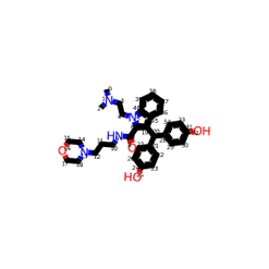 CN(C)CCn1c(C(=O)NCCCN2CCOCC2)c(C(c2ccc(O)cc2)c2ccc(O)cc2)c2ccccc21